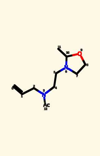 C=CCN(CCN1CCOC1C)C(C)=O